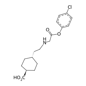 O=C(CNCC[C@H]1CC[C@H](C(=O)O)CC1)Oc1ccc(Cl)cc1